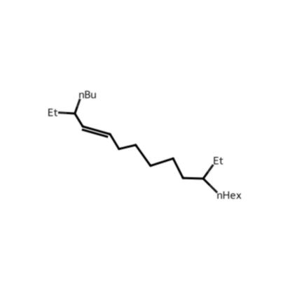 [CH2]CCCCCC(CC)CCCCCC=CC(CC)CCC[CH2]